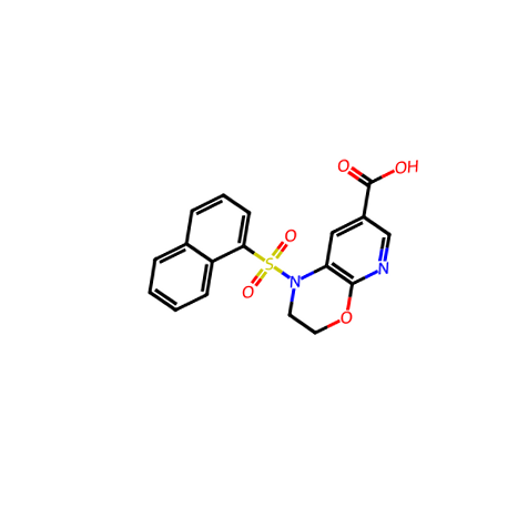 O=C(O)c1cnc2c(c1)N(S(=O)(=O)c1cccc3ccccc13)CCO2